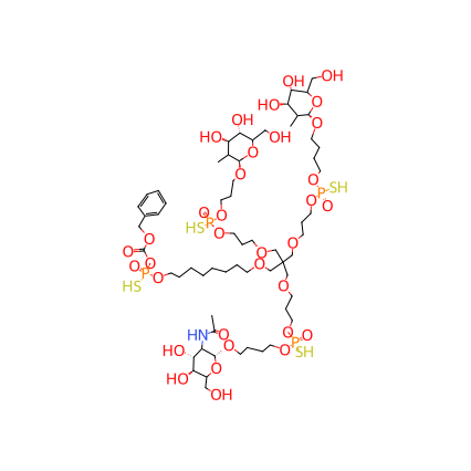 CC(=O)NC1[C@H](OCCCCOP(=O)(S)OCCCOCC(COCCCCCCCCOP(=O)(S)OC(=O)OCc2ccccc2)(COCCCOP(=O)(S)OCCCCO[C@@H]2OC(CO)[C@@H](O)[C@H](O)C2C)COCCCOP(=O)(S)OCCCO[C@@H]2OC(CO)[C@@H](O)[C@H](O)C2C)OC(CO)[C@@H](O)[C@@H]1O